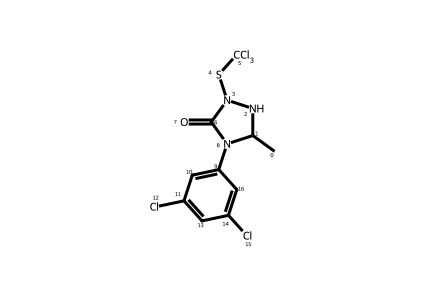 CC1NN(SC(Cl)(Cl)Cl)C(=O)N1c1cc(Cl)cc(Cl)c1